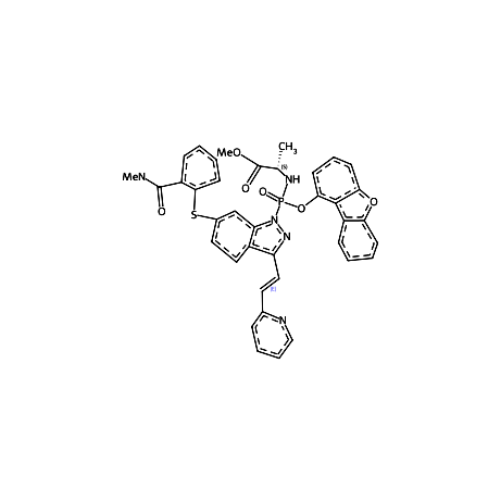 CNC(=O)c1ccccc1Sc1ccc2c(/C=C/c3ccccn3)nn(P(=O)(N[C@@H](C)C(=O)OC)Oc3cccc4oc5ccccc5c34)c2c1